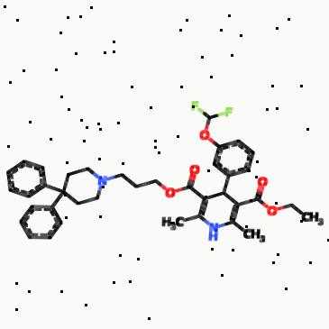 CCOC(=O)C1=C(C)NC(C)=C(C(=O)OCCCN2CCC(c3ccccc3)(c3ccccc3)CC2)C1c1cccc(OC(F)F)c1